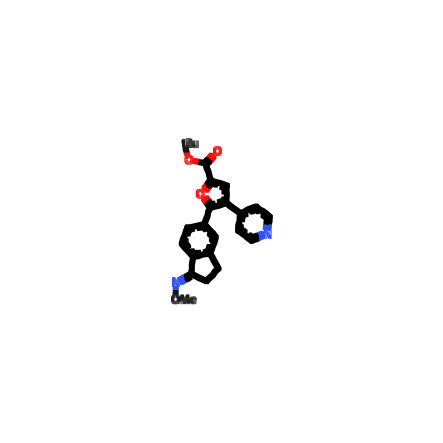 CON=C1CCc2cc(-c3oc(C(=O)OC(C)(C)C)cc3-c3ccncc3)ccc21